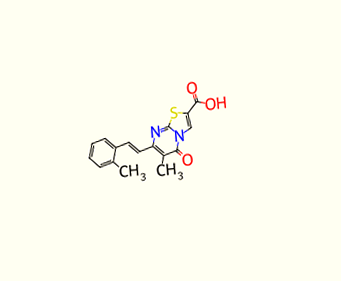 Cc1ccccc1/C=C/c1nc2sc(C(=O)O)cn2c(=O)c1C